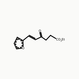 CCOC(=O)CCC(=O)/C=C/c1ccco1